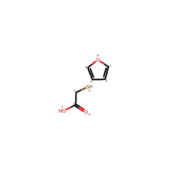 O=C(O)CS.c1ccoc1